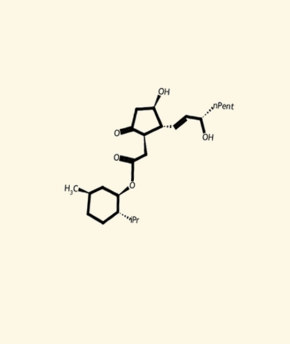 CCCCC[C@H](O)/C=C/[C@H]1[C@H](O)CC(=O)[C@@H]1CC(=O)O[C@@H]1C[C@H](C)CC[C@H]1C(C)C